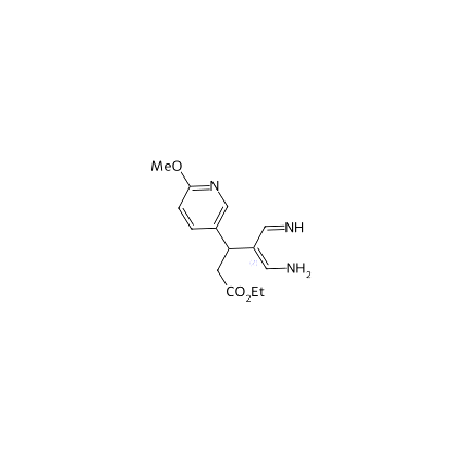 CCOC(=O)CC(/C(C=N)=C/N)c1ccc(OC)nc1